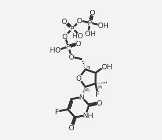 C[C@@]1(F)C(O)[C@@H](COP(=O)(O)OP(=O)(O)OP(=O)(O)O)O[C@H]1n1cc(F)c(=O)[nH]c1=O